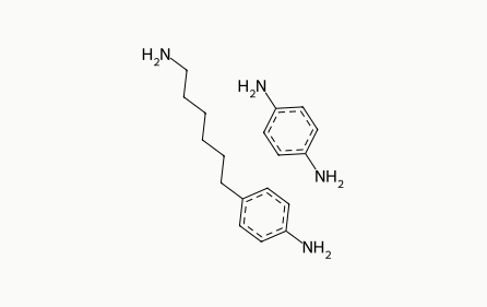 NCCCCCCc1ccc(N)cc1.Nc1ccc(N)cc1